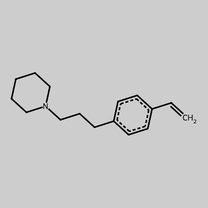 C=Cc1ccc(CCCN2CCCCC2)cc1